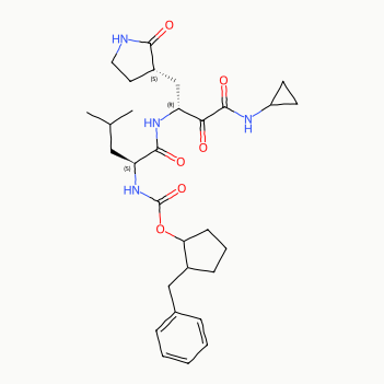 CC(C)C[C@H](NC(=O)OC1CCCC1Cc1ccccc1)C(=O)N[C@H](C[C@@H]1CCNC1=O)C(=O)C(=O)NC1CC1